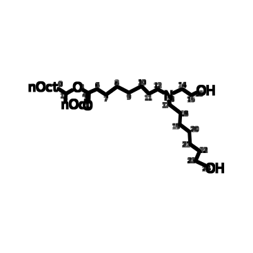 CCCCCCCCC(CCCCCCCC)OC(=O)CCCCCCCN(CCO)CCCCCCCO